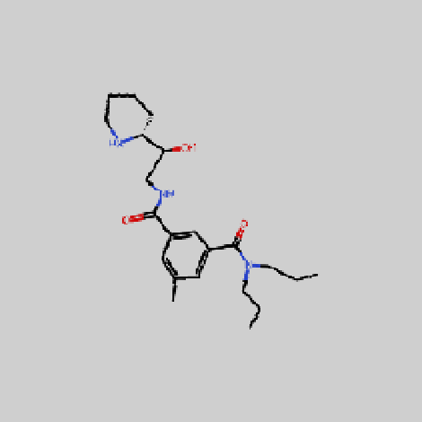 CCCN(CCC)C(=O)c1cc(C)cc(C(=O)NC[C@H](O)[C@H]2CCCCN2)c1